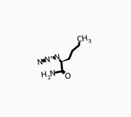 CCCC[C@H](N=[N+]=[N-])C(N)=O